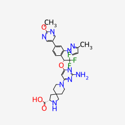 COc1ncc(-c2ccc([C@@H](Oc3cc(N4CCC5(CC4)CN[C@H](C(=O)O)C5)nc(N)n3)C(F)(F)F)c(-n3ccc(C)n3)c2)cn1